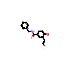 CC=Cc1cc(C(=O)NCc2ccccc2)ccc1O